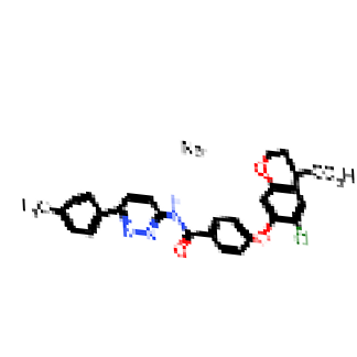 O=C(Nc1ccc(-c2ccc(C(F)(F)F)cc2)nn1)c1ccc(Oc2cc3c(cc2Cl)C(C(=O)O)CCO3)cc1.[Na]